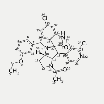 CCOc1cccc(CN2[C@H]3CCN(C(C)=O)C3[C@H](c3ccnc(Cl)c3F)[C@]23C(=O)Nc2cc(Cl)ccc23)c1